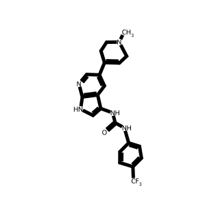 CN1CC=C(c2cnc3[nH]cc(NC(=O)Nc4ccc(C(F)(F)F)cc4)c3c2)CC1